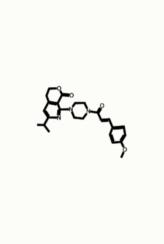 COc1ccc(C=CC(=O)N2CCN(c3nc(C(C)C)cc4c3C(=O)OCC4)CC2)cc1